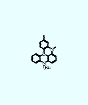 Cc1ccc2c(c1)N(C)c1cccc3c1B2c1ccccc1N3C(C)(C)C